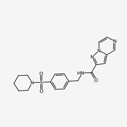 O=C(NCc1ccc(S(=O)(=O)N2CCCCC2)cc1)c1cc2cnccn2n1